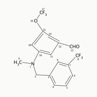 CN(Cc1cccc(C(F)(F)F)c1)c1cc(C=O)cc(OC(F)(F)F)c1